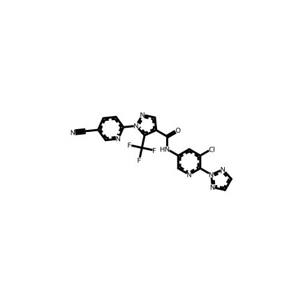 N#Cc1ccc(-n2ncc(C(=O)Nc3cnc(-n4nccn4)c(Cl)c3)c2C(F)(F)F)nc1